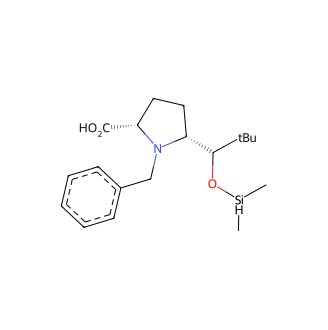 C[SiH](C)OC([C@H]1CC[C@@H](C(=O)O)N1Cc1ccccc1)C(C)(C)C